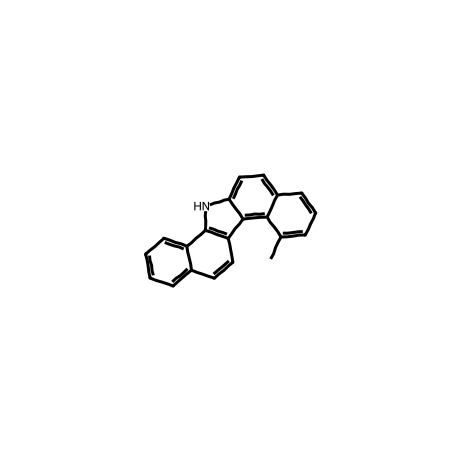 Cc1cccc2ccc3[nH]c4c5ccccc5ccc4c3c12